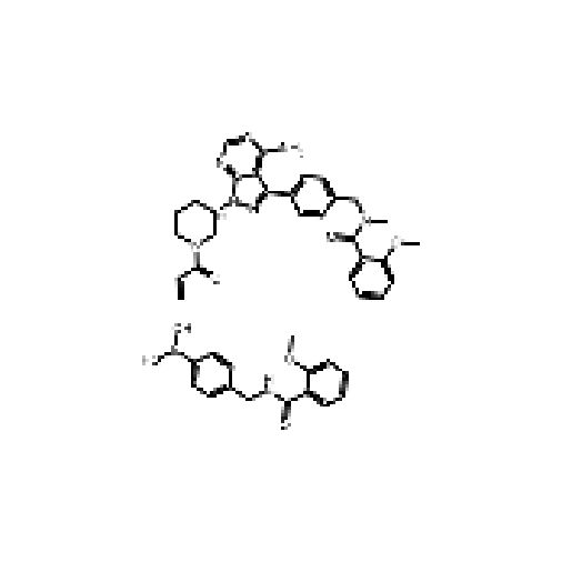 C=CC(=O)N1CCC[C@@H](n2nc(-c3ccc(CN(C)C(=O)c4ccccc4OC)cc3)c3c(N)ncnc32)C1.COc1ccccc1C(=O)NCc1ccc(B(O)O)cc1